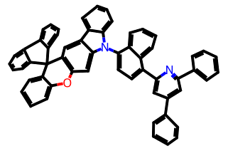 c1ccc(-c2cc(-c3ccccc3)nc(-c3ccc(-n4c5ccccc5c5cc6c(cc54)Oc4ccccc4C64c5ccccc5-c5ccccc54)c4ccccc34)c2)cc1